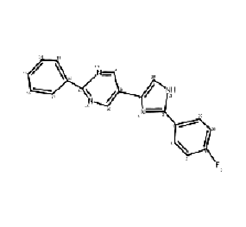 Fc1ccc(-c2nc(-c3cnc(-c4ccccc4)nc3)c[nH]2)cc1